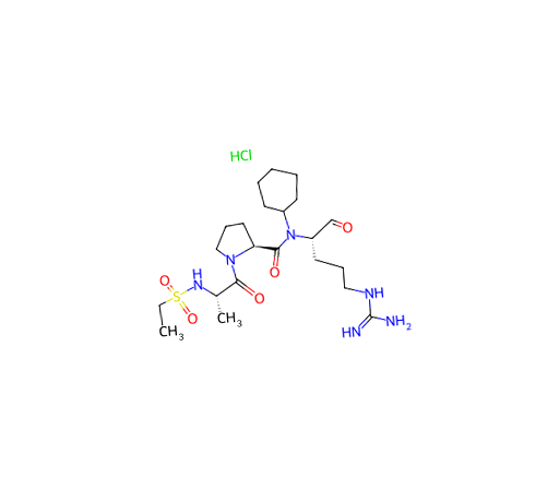 CCS(=O)(=O)N[C@@H](C)C(=O)N1CCC[C@H]1C(=O)N(C1CCCCC1)[C@H](C=O)CCCNC(=N)N.Cl